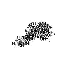 COC(=O)N[C@H]1[C@H](O[C@H]2[C@H](O)[C@@H](N)[C@H](O[C@H]3[C@H](O)[C@@H](N)[C@H](O)O[C@@H]3CO)O[C@@H]2CO)O[C@H](CO)[C@@H](O[C@@H]2O[C@H](CO)[C@@H](O[C@@H]3O[C@H](CO)[C@@H](O[C@@H]4O[C@H](CO)[C@@H](O[C@@H]5O[C@H](CO)[C@@H](O[C@@H]6O[C@H](CO)[C@@H](O[C@@H]7O[C@H](CO)[C@@H](O)[C@H](O)[C@H]7N)[C@H](O)[C@H]6N)[C@H](O)[C@H]5N)[C@H](O)[C@H]4N)[C@H](O)[C@H]3N)[C@H](O)[C@H]2N)[C@@H]1O.O=C1CCC(=O)N1O